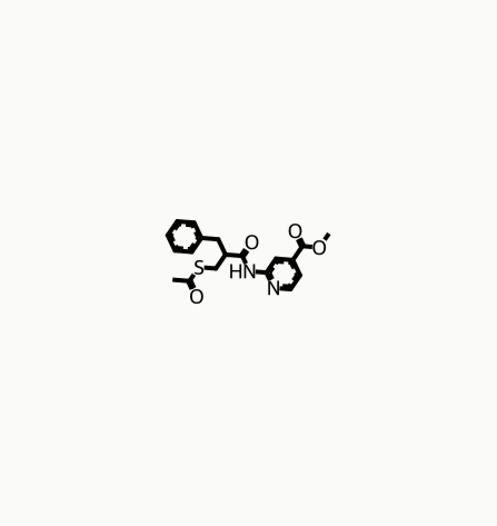 COC(=O)c1ccnc(NC(=O)C(CSC(C)=O)Cc2ccccc2)c1